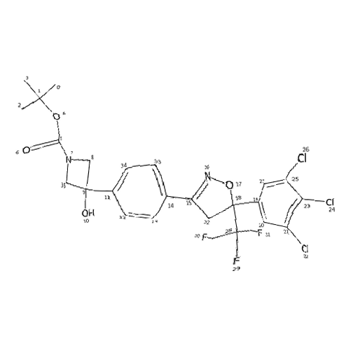 CC(C)(C)OC(=O)N1CC(O)(c2ccc(C3=NOC(c4cc(Cl)c(Cl)c(Cl)c4)(C(F)(F)F)C3)cc2)C1